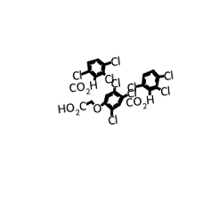 O=C(O)COc1cc(Cl)c(Cl)cc1Cl.O=C(O)c1c(Cl)ccc(Cl)c1Cl.O=C(O)c1c(Cl)ccc(Cl)c1Cl